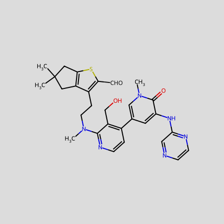 CN(CCc1c(C=O)sc2c1CC(C)(C)C2)c1nccc(-c2cc(Nc3cnccn3)c(=O)n(C)c2)c1CO